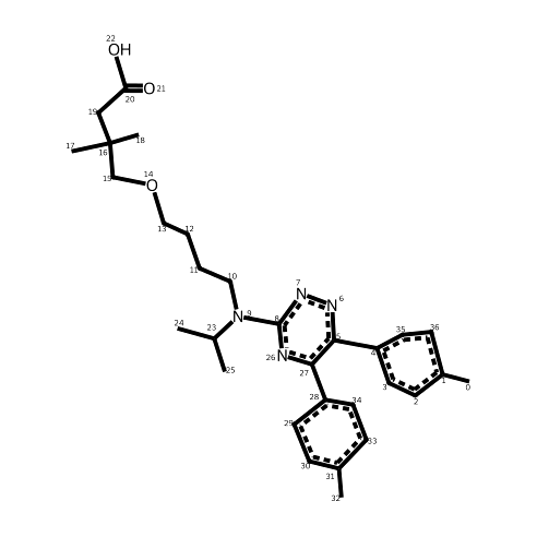 Cc1ccc(-c2nnc(N(CCCCOCC(C)(C)CC(=O)O)C(C)C)nc2-c2ccc(C)cc2)cc1